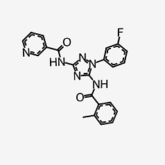 Cc1ccccc1C(=O)Nc1nc(NC(=O)c2cccnc2)nn1-c1cccc(F)c1